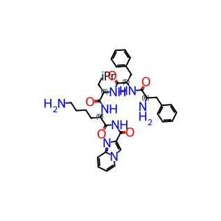 CC(C)C[C@@H](NC(=O)[C@@H](Cc1ccccc1)NC(=O)[C@H](N)Cc1ccccc1)C(=O)N[C@H](CCCCN)C(=O)NC(=O)c1cn2ccccc2n1